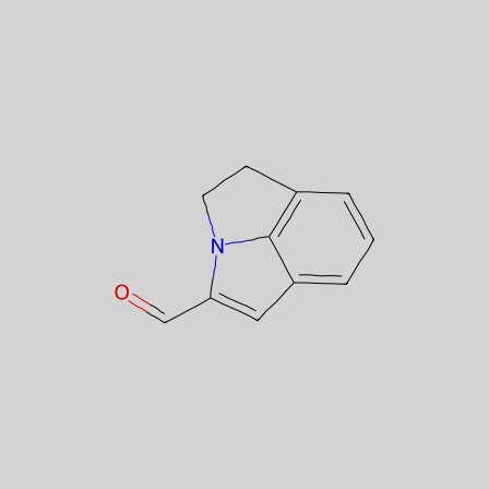 O=Cc1cc2cccc3c2n1CC3